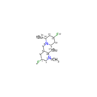 CN1CC(F)CC(CN2CCC(F)CC2C(C)(C)C)C1C(C)(C)C